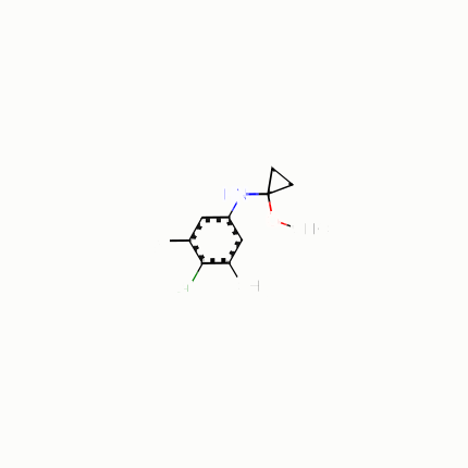 Cc1cc(NC2(OC=O)CC2)cc(C)c1Br